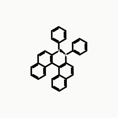 CP(c1ccccc1)c1ccc2ccccc2c1-c1c(P(C)c2ccccc2)ccc2ccccc12